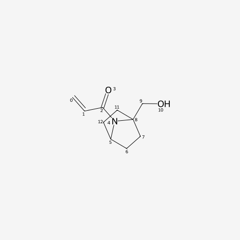 C=CC(=O)N1C2CCC1(CO)CC2